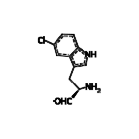 N[C@@H]([C]=O)Cc1c[nH]c2ccc(Cl)cc12